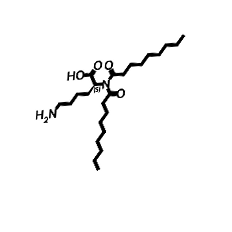 CCCCCCCCC(=O)N(C(=O)CCCCCCCC)[C@@H](CCCCN)C(=O)O